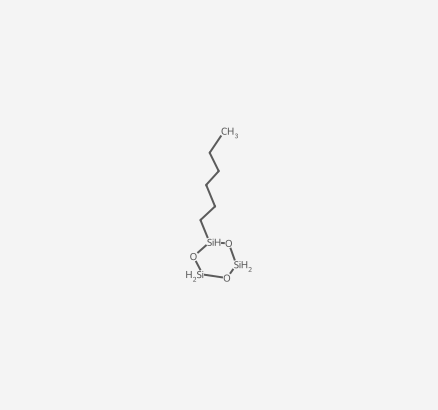 CCCCCC[SiH]1O[SiH2]O[SiH2]O1